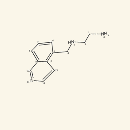 NCCNCc1cccc2cnccc12